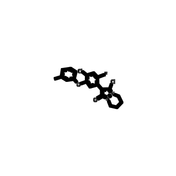 Cc1cccc(Oc2cc(-c3c(Cl)n4n(c3=O)CCCC4)c(F)cc2Cl)c1